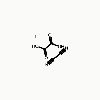 F.N#CC#N.O=C(O)C(=O)O